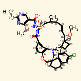 COc1ncc(C(=O)NS2(=O)=NC(=O)c3ccc4c(c3)N(C[C@@H]3CC[C@H]3[C@@H](OC)/C=C/C[C@H](C)C2)C[C@@]2(CCCc3cc(Cl)ccc32)CO4)c(OC)n1